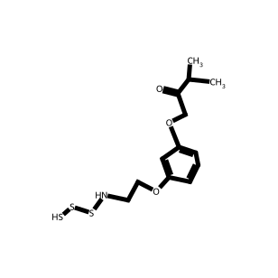 CC(C)C(=O)COc1cccc(OCCNSSS)c1